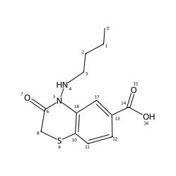 CCCCNN1C(=O)CSc2ccc(C(=O)O)cc21